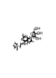 CC[N+](C)(CC)CCNc1ncnc2c1ncn2[C@@H]1O[C@H](CO)[C@@H](O)[C@H]1O.[I-]